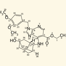 CCOC(=O)c1cnc2c(ncn2Cc2ccc(OC)c(OC)c2)c1NC1[C@@H]2CC3C[C@H]1CC(O)(C3)C2